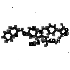 Cc1noc(C)c1-c1ccc(Cn2c(CC(C)(C)C(=O)O)c(SC(C)(C)C)c3cc(OCc4ccc5ccccc5n4)cnc32)cc1